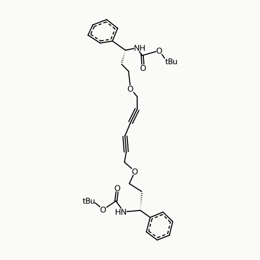 CC(C)(C)OC(=O)N[C@H](CCOCC#CC#CCOCC[C@@H](NC(=O)OC(C)(C)C)c1ccccc1)c1ccccc1